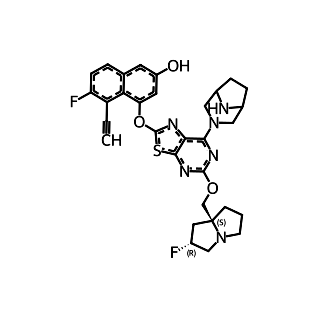 C#Cc1c(F)ccc2cc(O)cc(Oc3nc4c(N5CC6CCC(C5)N6)nc(OC[C@@]56CCCN5C[C@H](F)C6)nc4s3)c12